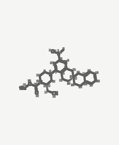 C[S+]([O-])c1nc2c(c(N3CCN(C(=O)OC(C)(C)C)[C@@H](CC#N)C3)n1)CC[C@]1(CCc3ccccc3C1)C2